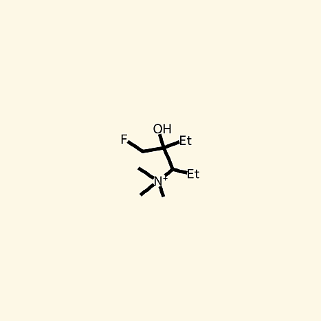 CCC(C(O)(CC)CF)[N+](C)(C)C